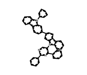 c1ccc(-c2ncc(-n3c4ccccc4c4ccc(-c5ccc6c7ccccc7n(-c7ccccc7)c6c5)cc43)c(-c3ccccc3)n2)cc1